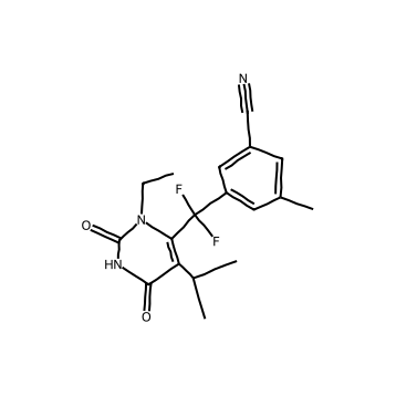 CCn1c(C(F)(F)c2cc(C)cc(C#N)c2)c(C(C)C)c(=O)[nH]c1=O